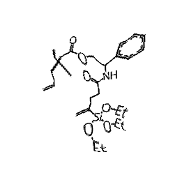 C=CCC(C)(C)C(=O)OCC(NC(=O)CCC(=C)[Si](OCC)(OCC)OCC)c1ccccc1